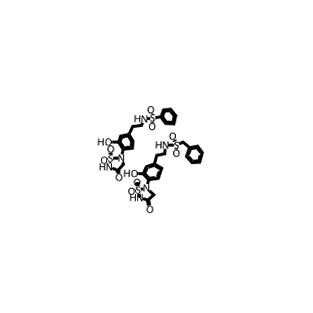 O=C1CN(c2ccc(CCNS(=O)(=O)Cc3ccccc3)cc2O)S(=O)(=O)N1.O=C1CN(c2ccc(CCNS(=O)(=O)c3ccccc3)cc2O)S(=O)(=O)N1